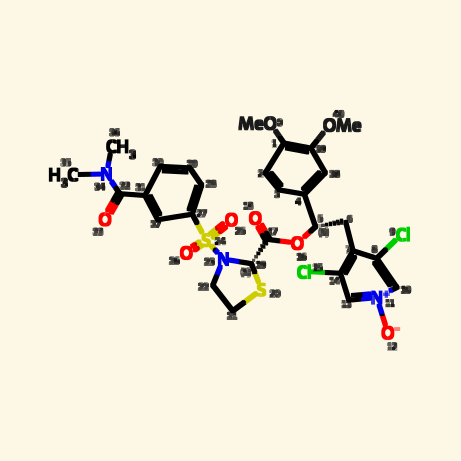 COc1ccc([C@H](Cc2c(Cl)c[n+]([O-])cc2Cl)OC(=O)[C@@H]2SCCN2S(=O)(=O)c2cccc(C(=O)N(C)C)c2)cc1OC